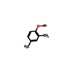 Cc1ccc(OC(C)C)c(C)c1